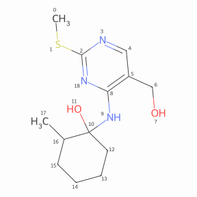 CSc1ncc(CO)c(NC2(O)CCCCC2C)n1